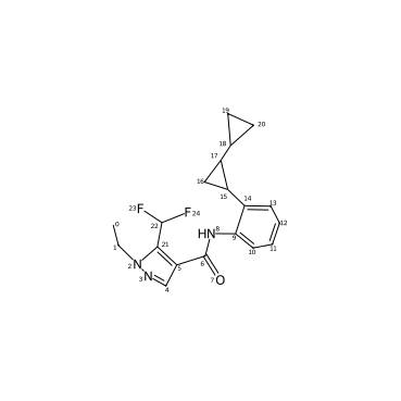 CCn1ncc(C(=O)Nc2ccccc2C2CC2C2CC2)c1C(F)F